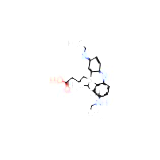 CC/N=C1\C=CC2=Nc3ccc(NCC)cc3[Si](CCCC(=O)O)(C(C)C)C2=C1